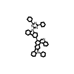 c1ccc(-c2nc(-c3ccccc3)nc(-n3c4ccccc4c4cc(-c5cc6cc7c8ccccc8n(-c8ccccc8)c7cc6c6c5cnc5ccccc56)ccc43)n2)cc1